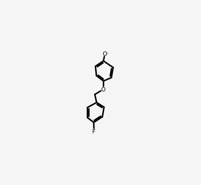 [O]c1ccc(OCc2ccc(F)cc2)cc1